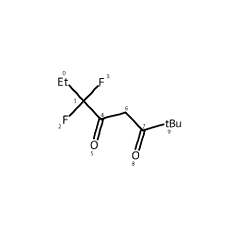 CCC(F)(F)C(=O)CC(=O)C(C)(C)C